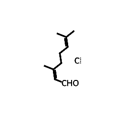 CC(C)=CCCC(C)=CC=O.[C]